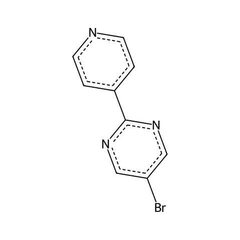 Brc1cnc(-c2ccncc2)nc1